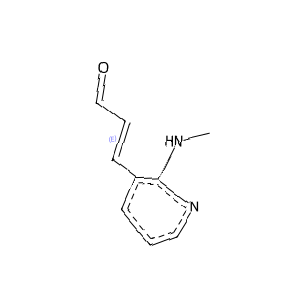 CNc1ncccc1/C=C/C=O